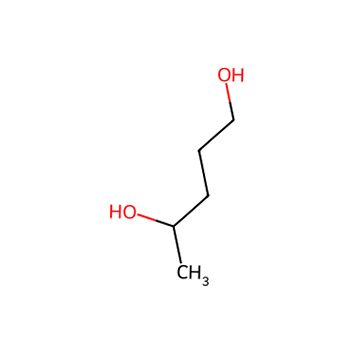 CC(O)CCCO